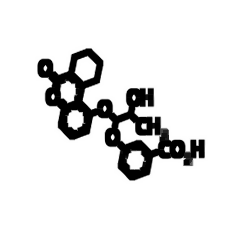 CC(O)C(Oc1cccc(C(=O)O)c1)Oc1cccc2oc(=O)c3c(c12)CCCC3